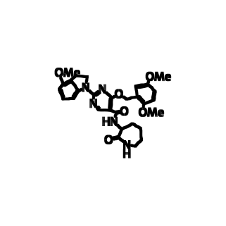 COc1ccc(OC)c(COc2nc(N3CCc4c(OC)cccc43)ncc2C(=O)NC2CCCCNC2=O)c1